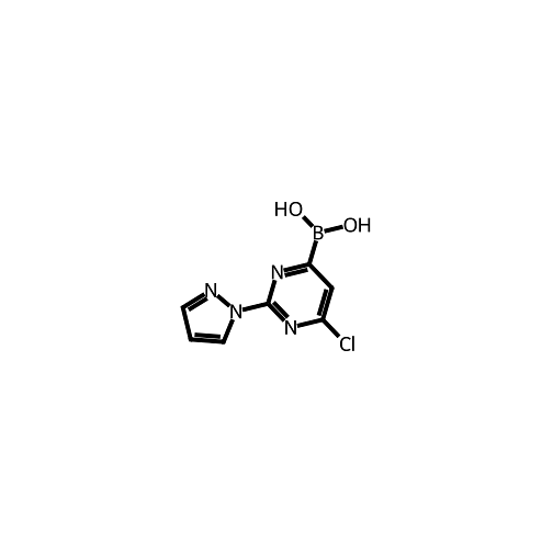 OB(O)c1cc(Cl)nc(-n2cccn2)n1